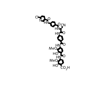 COc1c(NC(=O)c2ccc(NC(=O)c3ccc(NC(=O)[C@H](CC#N)NC(=O)c4ccc(NC(=O)c5ccc(Cl)nc5)cc4)cc3)c(OC)c2O)ccc(C(=O)O)c1O